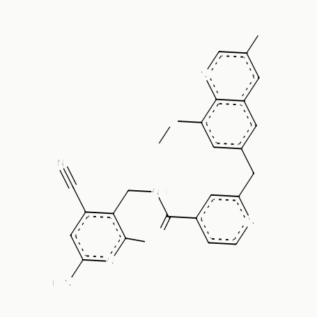 CSc1cc(Cc2cc(C(=O)NCc3c(C#N)cc(N)nc3C)ccn2)cc2cc(F)cnc12